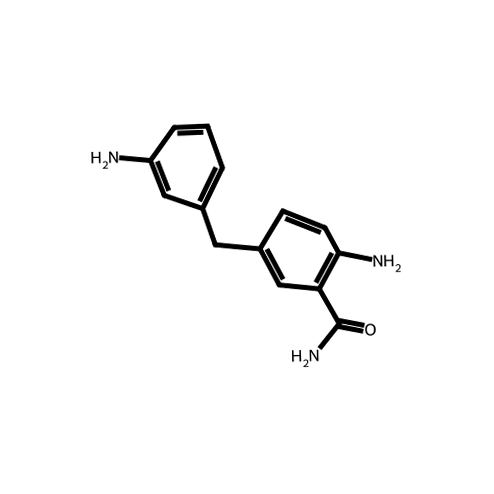 NC(=O)c1cc(Cc2cccc(N)c2)ccc1N